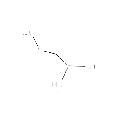 CCC(C)C(O)CNC(C)(C)C